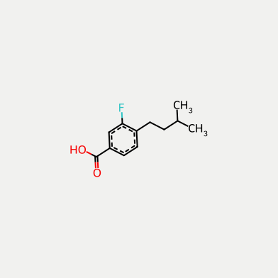 CC(C)CCc1ccc(C(=O)O)cc1F